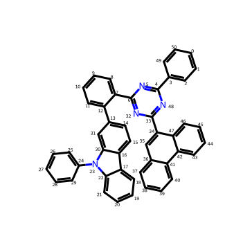 c1ccc(-c2nc(-c3ccccc3-c3ccc4c5ccccc5n(-c5ccccc5)c4c3)nc(-c3cc4ccccc4c4ccccc34)n2)cc1